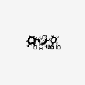 Cc1cccc(C(=O)N[C@H](C(=O)N2CCC[C@H]2C=O)C(C)(C)C)c1Cl